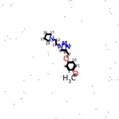 COc1ccc(OCc2cn(CCN3CCCC3)nn2)cc1